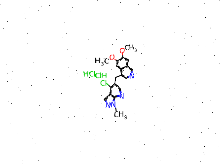 CCn1ncc2c(Cl)c(Cc3cncc4cc(OC)c(OC)cc34)cnc21.Cl.Cl